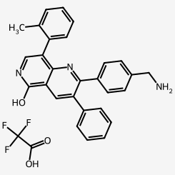 Cc1ccccc1-c1cnc(O)c2cc(-c3ccccc3)c(-c3ccc(CN)cc3)nc12.O=C(O)C(F)(F)F